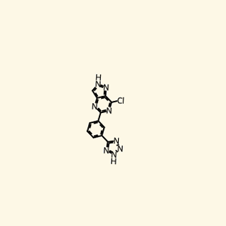 Clc1nc(-c2cccc(-c3nn[nH]n3)c2)nc2c[nH]nc12